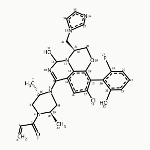 C=CC(=O)N1C[C@H](C)N(C2=NC(O)N3c4c2cc(Cl)c(-c2c(O)cccc2F)c4OC[C@@H]3Cn2ccnc2)C[C@H]1C